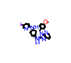 COc1ccc(Cn2c(N[C@H]3CC[C@H](Nc4ccc(I)cn4)C3)nc3cccnc32)cc1